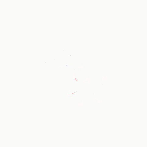 O=[P](O[C@H]1O[C@H](CO)[C@H](O)[C@H](O)[C@H]1O)N(CCCl)CCCl